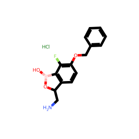 Cl.NCC1OB(O)c2c1ccc(OCc1ccccc1)c2F